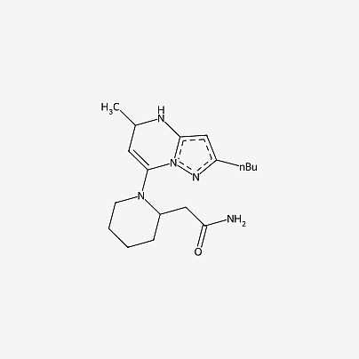 CCCCc1cc2n(n1)C(N1CCCCC1CC(N)=O)=CC(C)N2